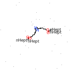 CCCCCCCC(CCCCCCC)C(=O)OCCCCC#Cc1cncc(C#CCCCCOC(=O)C(CCCCCCC)CCCCCCC)n1